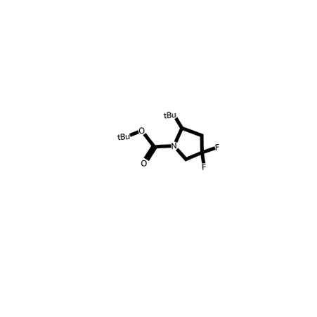 CC(C)(C)OC(=O)N1CC(F)(F)CC1C(C)(C)C